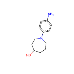 Nc1ccc(N2CCCC(O)CC2)cc1